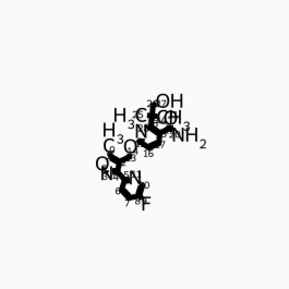 Cc1onc(-c2ccc(F)cn2)c1COc1ccc(C(N)=O)c(C(C)(C)CO)n1